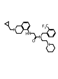 O=C(CNc1cccc2c1CCN(CC1CC1)C2)N(CCN1CCCCC1)Cc1ccccc1C(F)(F)F